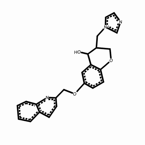 OC1c2cc(OCc3ccc4ccccc4n3)ccc2OCC1Cn1ccnc1